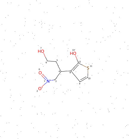 O=[N+]([O-])CC(CCO)c1ccsc1O